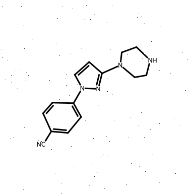 N#Cc1ccc(-n2ccc(N3CCNCC3)n2)cc1